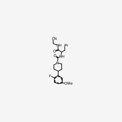 COc1ccc(F)c(C2CCN(C(=O)NC(CC(C)C)C(=O)NCC#N)CC2)c1